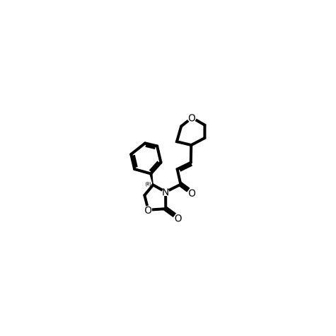 O=C(C=CC1CCOCC1)N1C(=O)OC[C@H]1c1ccccc1